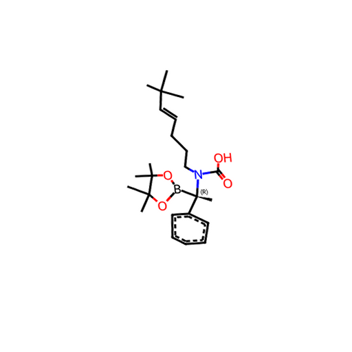 CC(C)(C)C=CCCCN(C(=O)O)[C@@](C)(B1OC(C)(C)C(C)(C)O1)c1ccccc1